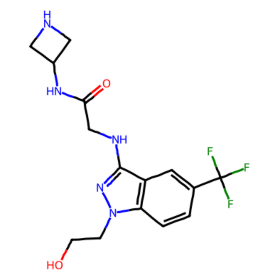 O=C(CNc1nn(CCO)c2ccc(C(F)(F)F)cc12)NC1CNC1